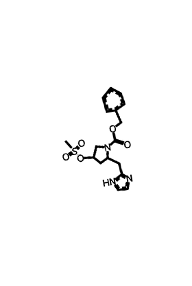 CS(=O)(=O)OC1CC(Cc2ncc[nH]2)N(C(=O)OCc2ccccc2)C1